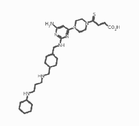 Nc1cc(N2CCN(C(=S)CCC(=O)O)CC2)nc(NCC2CCC(CNCCCNC3CCCCC3)CC2)n1